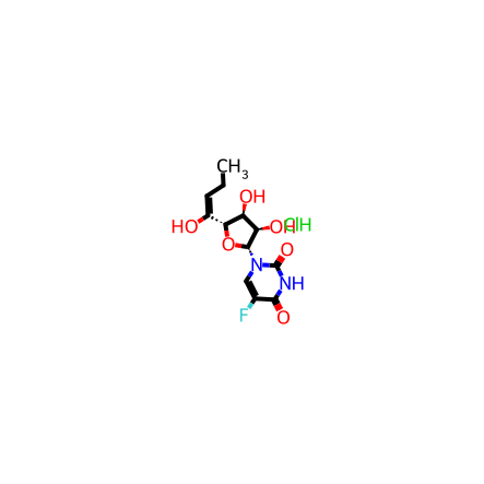 CC/C=C(/O)[C@H]1O[C@@H](n2cc(F)c(=O)[nH]c2=O)[C@H](O)[C@@H]1O.Cl